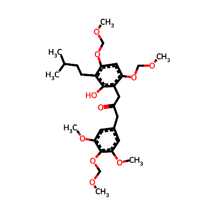 COCOc1cc(OCOC)c(CC(=O)Cc2cc(OC)c(OCOC)c(OC)c2)c(O)c1CCC(C)C